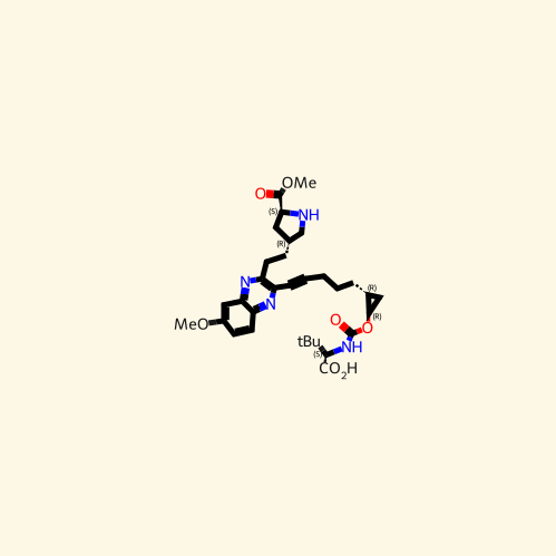 COC(=O)[C@@H]1C[C@@H](CCc2nc3cc(OC)ccc3nc2C#CCCC[C@@H]2C[C@H]2OC(=O)N[C@H](C(=O)O)C(C)(C)C)CN1